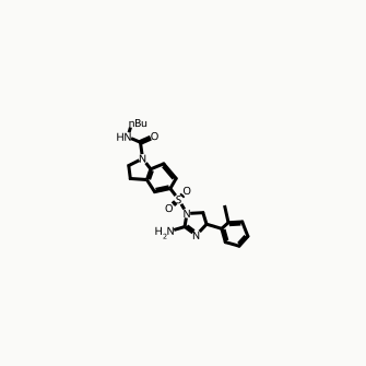 CCCCNC(=O)N1CCc2cc(S(=O)(=O)N3CC(c4ccccc4C)N=C3N)ccc21